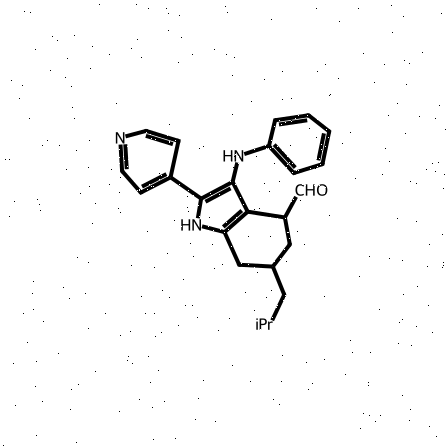 CC(C)CC1Cc2[nH]c(-c3ccncc3)c(Nc3ccccc3)c2C(C=O)C1